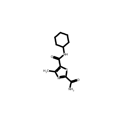 Cc1nc(C(N)=O)sc1C(=O)NC1CCCCC1